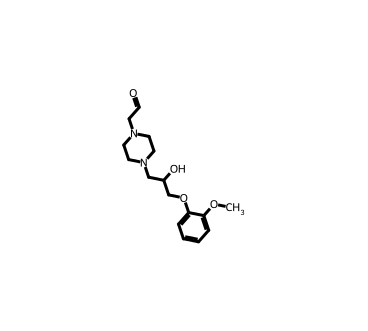 COc1ccccc1OCC(O)CN1CCN(CC=O)CC1